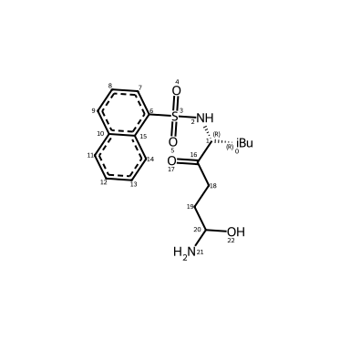 CC[C@@H](C)[C@@H](NS(=O)(=O)c1cccc2ccccc12)C(=O)CCC(N)O